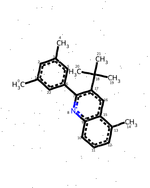 Cc1cc(C)cc(-c2nc3cccc(C)c3cc2C(C)(C)C)c1